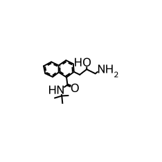 CC(C)(C)NC(=O)c1c(CC(O)CN)ccc2ccccc12